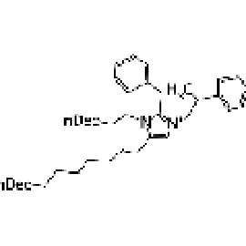 CCCCCCCCCCCCCCCCCc1c[n+](CC(C)c2ccccc2)c(Cc2ccccc2)n1CCCCCCCCCCCC